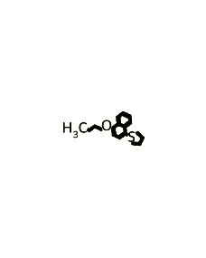 CCCCOc1ccc([S+]2CCCC2)c2ccccc12